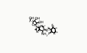 NC1c2ncn([C@@H]3O[C@H](CO)C(O)C3O)c2N=CN1OCc1c(F)cccc1F